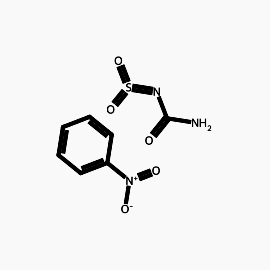 NC(=O)N=S(=O)=O.O=[N+]([O-])c1ccccc1